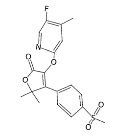 Cc1cc(OC2=C(c3ccc(S(C)(=O)=O)cc3)C(C)(C)OC2=O)ncc1F